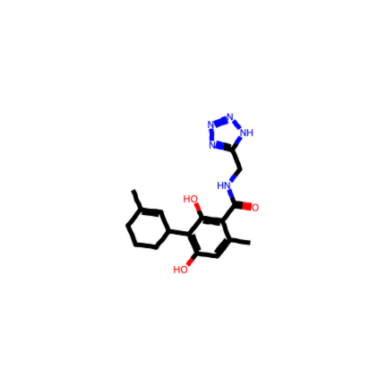 CC1=CC(c2c(O)cc(C)c(C(=O)NCc3nnn[nH]3)c2O)CCC1